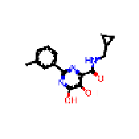 Cc1cccc(-c2nc(O)c(O)c(C(=O)NCC3CC3)n2)c1